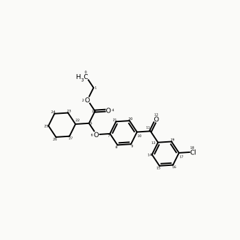 CCOC(=O)C(Oc1ccc(C(=O)c2cccc(Cl)c2)cc1)C1CCCCC1